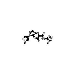 Cn1cc(-n2ncn3nc(C(=O)Nc4nnnn4C)c(=O)nc23)cn1